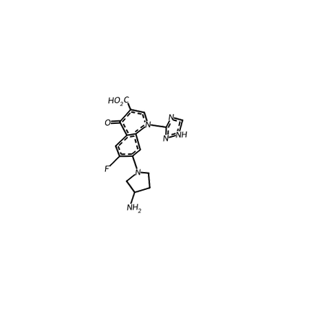 NC1CCN(c2cc3c(cc2F)c(=O)c(C(=O)O)cn3-c2nc[nH]n2)C1